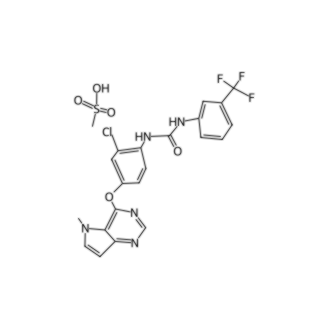 CS(=O)(=O)O.Cn1ccc2ncnc(Oc3ccc(NC(=O)Nc4cccc(C(F)(F)F)c4)c(Cl)c3)c21